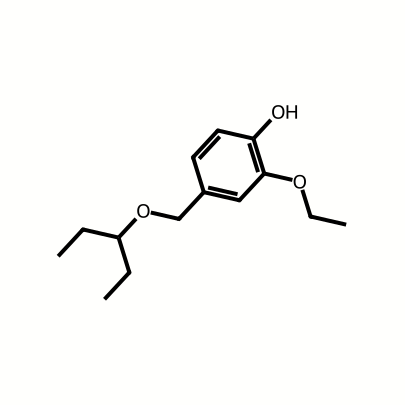 CCOc1cc(COC(CC)CC)ccc1O